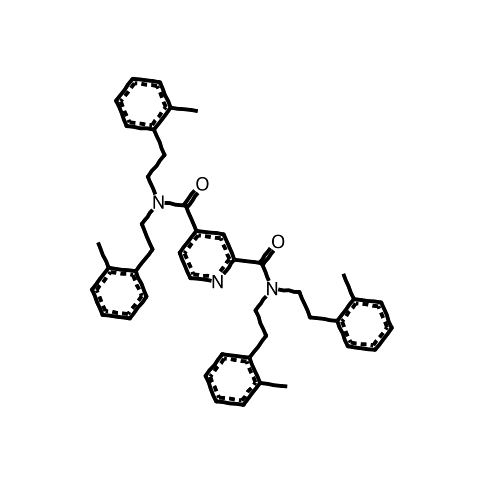 Cc1ccccc1CCN(CCc1ccccc1C)C(=O)c1ccnc(C(=O)N(CCc2ccccc2C)CCc2ccccc2C)c1